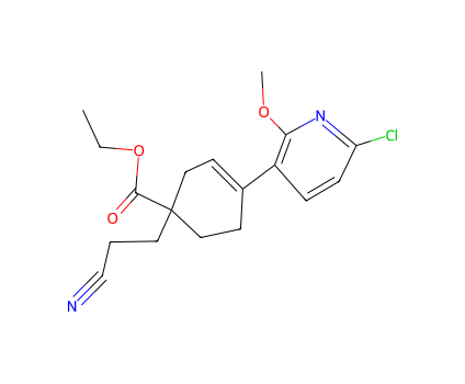 CCOC(=O)C1(CCC#N)CC=C(c2ccc(Cl)nc2OC)CC1